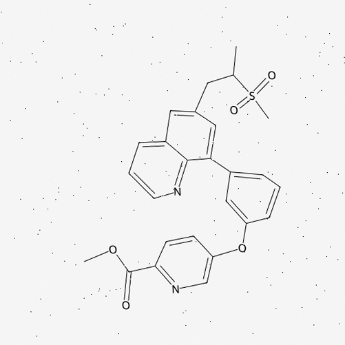 COC(=O)c1ccc(Oc2cccc(-c3cc(CC(C)S(C)(=O)=O)cc4cccnc34)c2)cn1